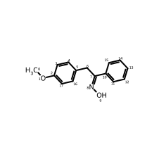 COc1ccc(CC(=NO)c2ccccc2)cc1